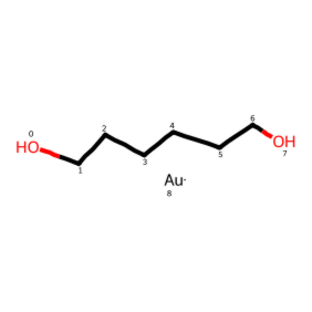 OCCCCCCO.[Au]